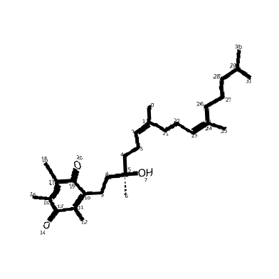 CC(=CCC[C@@](C)(O)CCC1=C(C)C(=O)C(C)=C(C)C1=O)CCC=C(C)CCCC(C)C